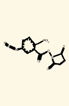 [N-]=[N+]=Nc1ccc([N+](=O)[O-])c(C(=O)ON2C(=O)CCC2=O)c1